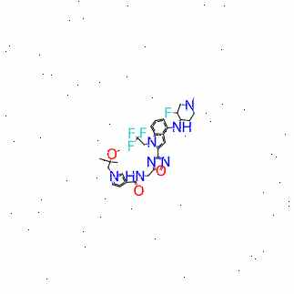 COC(C)(C)Cn1ccc(C(=O)NCc2nc(-c3cc4c(N[C@@H]5CCN(C)C[C@@H]5F)cccc4n3CC(F)(F)F)no2)c1